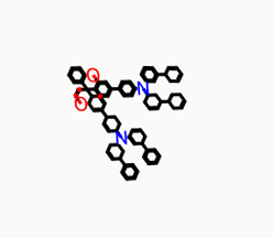 C1=CCC(c2cccc(N(c3ccc(-c4ccc5c(c4)Oc4ccccc4C54C5=CCCC=C5OC5C=C(C6C=CC(N(C7=CC(c8ccccc8)CC=C7)C7CC=CC(c8ccccc8)C7)CC6)C=CC54)cc3)C3CC=CC(C4CC=CCC4)C3)c2)C=C1